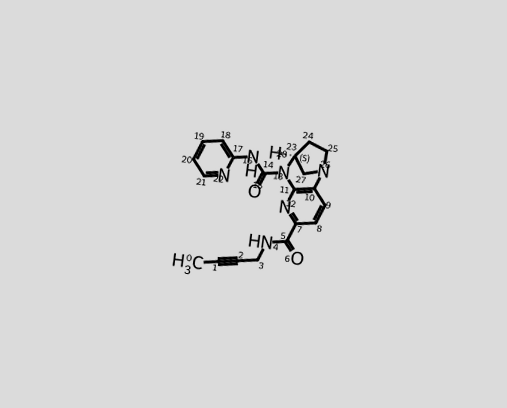 CC#CCNC(=O)c1ccc2c(n1)N(C(=O)Nc1ccccn1)[C@H]1CCN2C1